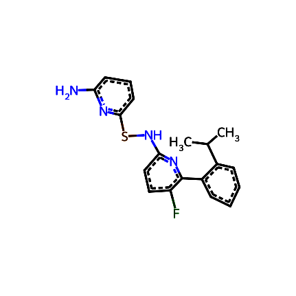 CC(C)c1ccccc1-c1nc(NSc2cccc(N)n2)ccc1F